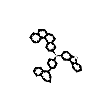 c1ccc2c(-c3ccc(N(c4ccc5c(ccc6ccc7ccccc7c65)c4)c4ccc5oc6ccccc6c5c4)cc3)cccc2c1